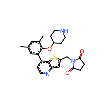 Cc1cc(C)c(OC2CCNCC2)c(-c2ccnc3cc(CN4C(=O)CCC4=O)sc23)c1